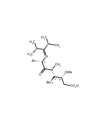 CC[C@H](C)[C@@H]([C@@H](CC(=O)O)OC)N(C)C(=O)[C@@H](N=C(N(C)C)N(C)C)C(C)C